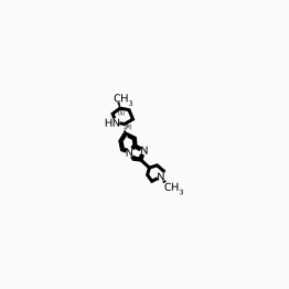 C[C@H]1CC[C@H](c2ccn3cc(C4CCN(C)CC4)nc3c2)NC1